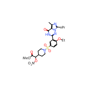 CCCc1nc(C)c2c(=O)[nH]c(-c3cc(S(=O)(=O)N4CCC(C(O[N+](=O)[O-])C(=O)OC)CC4)ccc3OCC)nn12